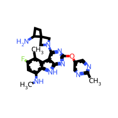 CNc1cc(F)c(C)c2c1[nH]c1nc(Oc3cnc(C)nc3)nc(N3CC4(CCC4N)C3)c12